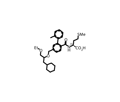 CCOCC(CC1CCCCC1)OCc1ccc(C(=O)N[C@@H](CCSC)C(=O)O)c(-c2ccccc2C)c1